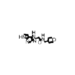 O=C(Cc1nc2cnc3[nH]ccc3c2[nH]1)NCC1CCOCC1